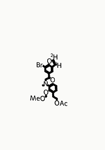 [2H]c1oc2c(Br)cc(C(=O)CN(C)c3cccc(CCOC(C)=O)c3OCOC)cc2c1[2H]